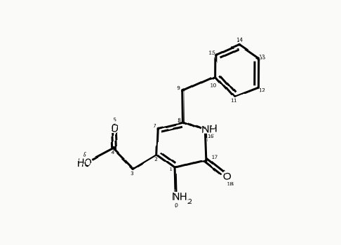 Nc1c(CC(=O)O)cc(Cc2ccccc2)[nH]c1=O